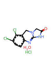 Cl.O.O=C1CN2Cc3c(ccc(Cl)c3Cl)N=C2N1